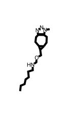 CCCCCCCNCOCC1C2CCc3nnn(C)c3CCC21